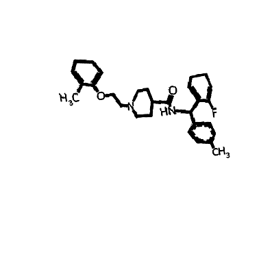 CC1=CCCC=C1OCCN1CCC(C(=O)NC(C2=CCCC=C2F)c2ccc(C)cc2)CC1